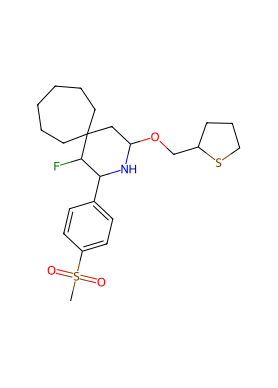 CS(=O)(=O)c1ccc(C2NC(OCC3CCCS3)CC3(CCCCCC3)C2F)cc1